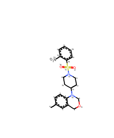 Cc1ccc2c(c1)COCN2C1CCN(S(=O)(=O)c2ccccc2[N+](=O)[O-])CC1